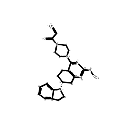 C=CC(=O)N1CCN(c2nc(OC)nc3c2CC[C@@H](N2CCc4ccccc42)C3)CC1